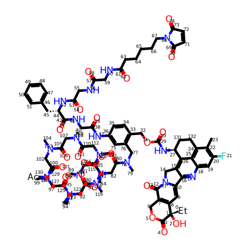 CC[C@@]1(O)C(=O)OCc2c1cc1n(c2=O)Cc2c-1nc1cc(F)c(C)c3c1c2[C@@H](NC(=O)OCc1ccc(NC(=O)CNC(=O)[C@H](Cc2ccccc2)NC(=O)CNC(=O)CNC(=O)CCCCCN2C(=O)C=CC2=O)cc1CN(C)C(=O)CN(C)C(=O)CN(C)C(=O)CN(C)C(=O)CN(C)C(=O)CN(C)C(=O)CN(C)C(=O)CN(C)C(=O)CN(C)C(=O)CN(C)C(=O)CN(C)C(C)=O)CC3